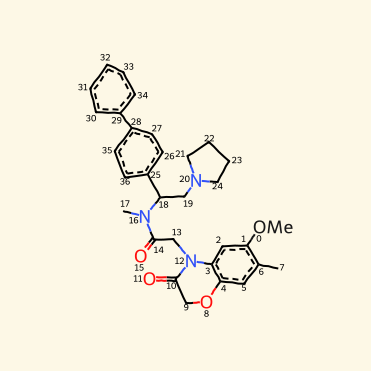 COc1cc2c(cc1C)OCC(=O)N2CC(=O)N(C)C(CN1CCCC1)c1ccc(-c2ccccc2)cc1